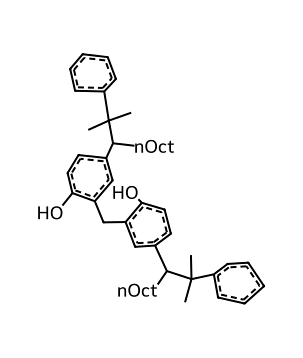 CCCCCCCCC(c1ccc(O)c(Cc2cc(C(CCCCCCCC)C(C)(C)c3ccccc3)ccc2O)c1)C(C)(C)c1ccccc1